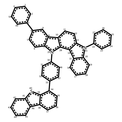 c1ccc(-c2ccc3c(c2)c2ccc4c(c5ccccc5n4-c4ccccc4)c2n3-c2ccc(-c3cccc4c3sc3ccccc34)cc2)cc1